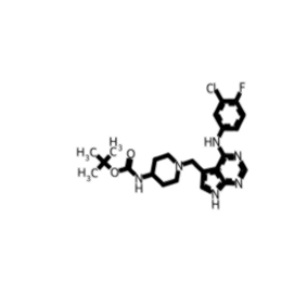 CC(C)(C)OC(=O)NC1CCN(Cc2c[nH]c3ncnc(Nc4ccc(F)c(Cl)c4)c23)CC1